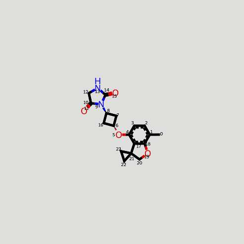 Cc1ccc(O[C@H]2C[C@H](N3C(=O)CNC3=O)C2)c2c1OCC21CC1